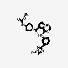 CC(C)n1nnc(-c2cccc(Nc3ncnn4ccc(C(=O)N5CCC(NC(=O)OC(C)(C)C)CC5)c34)c2)n1